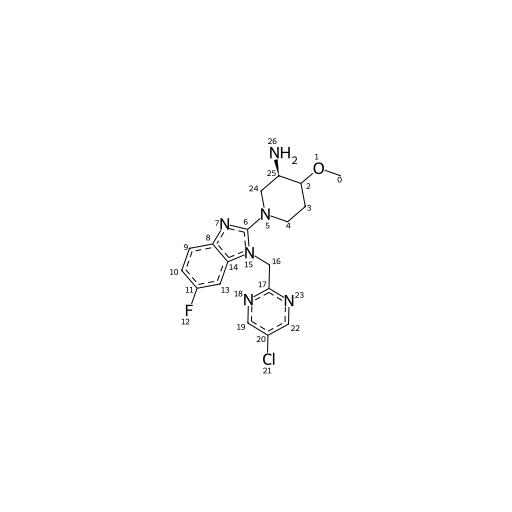 COC1CCN(c2nc3ccc(F)cc3n2Cc2ncc(Cl)cn2)C[C@H]1N